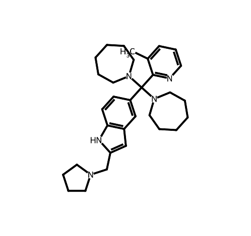 Cc1cccnc1C(c1ccc2[nH]c(CN3CCCC3)cc2c1)(N1CCCCCC1)N1CCCCCC1